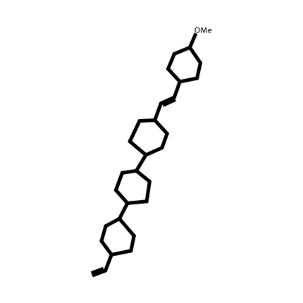 C=CC1CCC(C2CCC(C3CCC(/C=C/C4CCC(OC)CC4)CC3)CC2)CC1